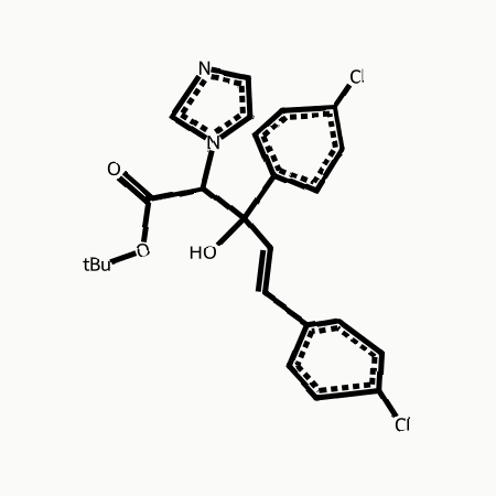 CC(C)(C)OC(=O)C(n1ccnc1)C(O)(C=Cc1ccc(Cl)cc1)c1ccc(Cl)cc1